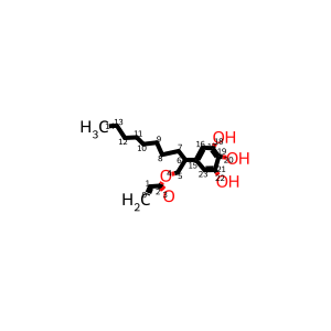 C=CC(=O)OCC(CCCCCCCC)c1cc(O)c(O)c(O)c1